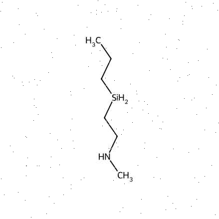 CCC[SiH2]CCNC